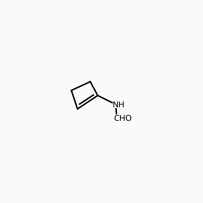 O=CNC1=CCC1